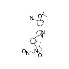 CC(C)Oc1ccc(C2=NN=C(c3cccc4c3CC3CC(=O)N(CCN=O)C43)C2)cc1C#N